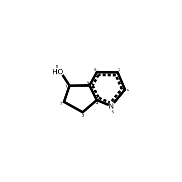 OC1CCc2ncccc21